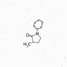 CC1CCN(c2ccccc2)C1=O